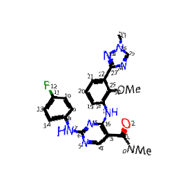 CNC(=O)c1cnc(Nc2ccc(F)cc2)nc1Nc1cccc(-c2ncn(C)n2)c1OC